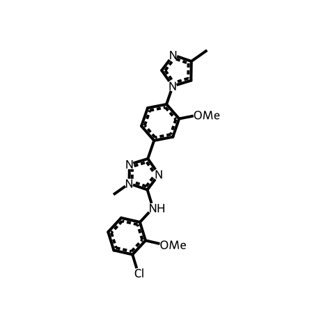 COc1cc(-c2nc(Nc3cccc(Cl)c3OC)n(C)n2)ccc1-n1cnc(C)c1